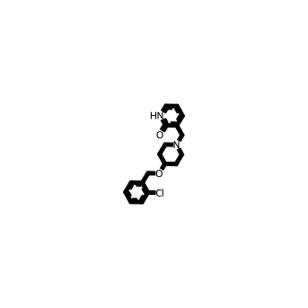 O=c1[nH]cccc1CN1CCC(OCc2ccccc2Cl)CC1